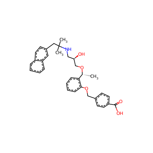 C[C@@H](OC[C@H](O)CNC(C)(C)Cc1ccc2ccccc2c1)c1ccccc1OCc1ccc(C(=O)O)cc1